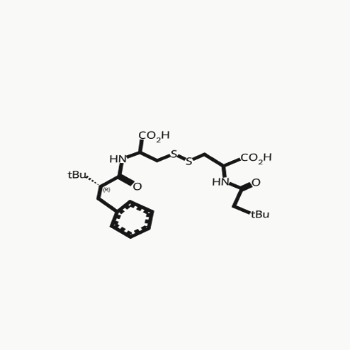 CC(C)(C)CC(=O)NC(CSSCC(NC(=O)[C@H](Cc1ccccc1)C(C)(C)C)C(=O)O)C(=O)O